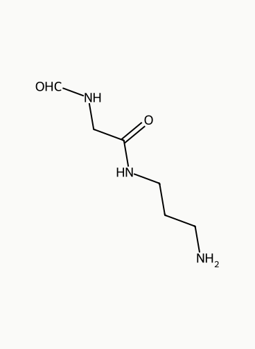 NCCCNC(=O)CNC=O